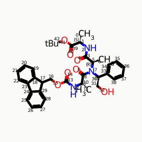 C[C@H](NC(=O)[C@@H](C)N(C(=O)[C@H](C)NC(=O)OCC1c2ccccc2-c2ccccc21)[C@H](CO)c1ccccc1)C(=O)OC(C)(C)C